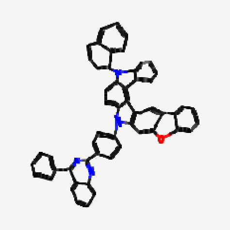 c1ccc(-c2nc(-c3ccc(-n4c5cc6oc7ccccc7c6cc5c5c6c7ccccc7n(-c7cccc8ccccc78)c6ccc54)cc3)nc3ccccc23)cc1